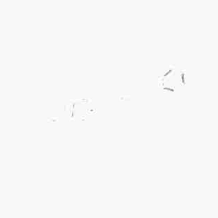 CC(C)(C)[C@@]1(COCCCOc2ccccc2)C[C@H](O[Si](C)(C)C(C)(C)C)CN1C(=O)O